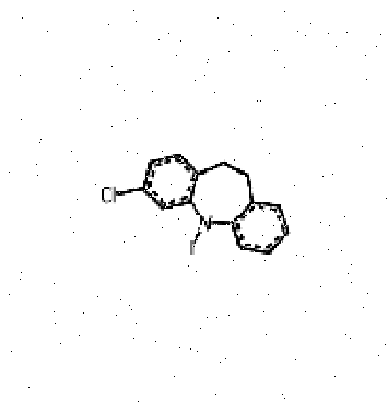 Clc1ccc2c(c1)N(I)c1ccccc1CC2